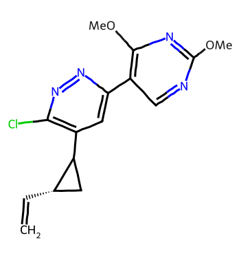 C=C[C@H]1CC1c1cc(-c2cnc(OC)nc2OC)nnc1Cl